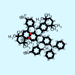 Cc1ccc(C(C)(C)C)cc1N1c2cc(N(c3ccccc3)c3ccccc3)ccc2B2c3cc4c(cc3N(c3ccc(C(C)(C)C)cc3-c3ccc5c(c3)C(C)(C)CCC5(C)C)c3cc(C(C)(C)C)cc1c32)C(C)(C)CCC4(C)C